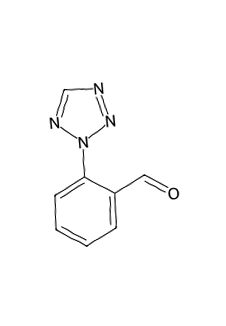 O=Cc1ccccc1-n1ncnn1